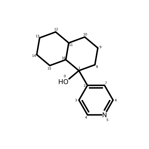 OC1(c2ccncc2)CCCC2CCCCC21